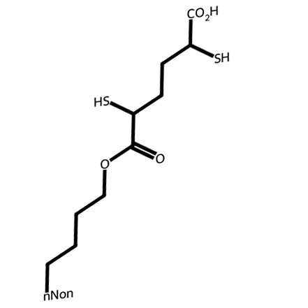 CCCCCCCCCCCCCOC(=O)C(S)CCC(S)C(=O)O